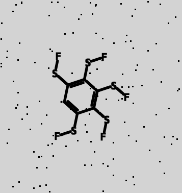 FSc1[c]c(SF)c(SF)c(SF)c1SF